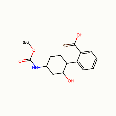 CC(C)(C)OC(=O)NC1CCC(c2ccccc2C(O)=S)C(O)C1